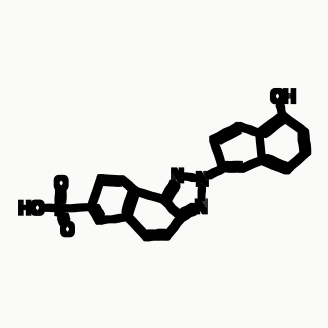 O=S(=O)(O)c1ccc2c(ccc3nn(-c4ccc5c(O)cccc5c4)nc32)c1